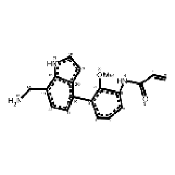 C=CC(=O)Nc1cccc(-c2ccc(CN)c3[nH]ccc23)c1OC